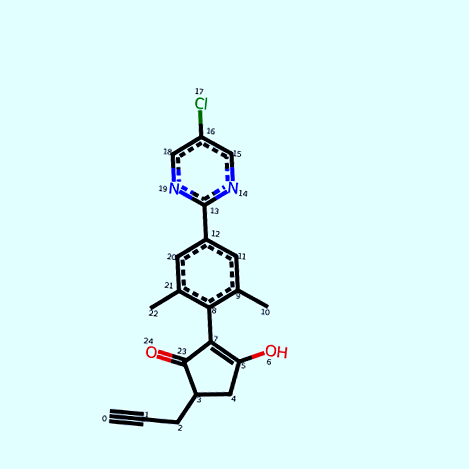 C#CCC1CC(O)=C(c2c(C)cc(-c3ncc(Cl)cn3)cc2C)C1=O